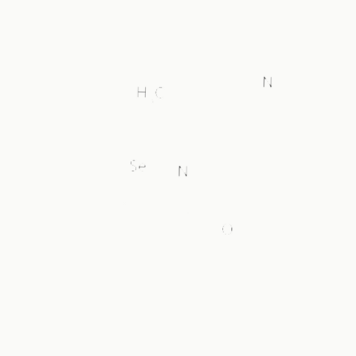 Cc1cnccc1-n1[se]c2ccccc2c1=O